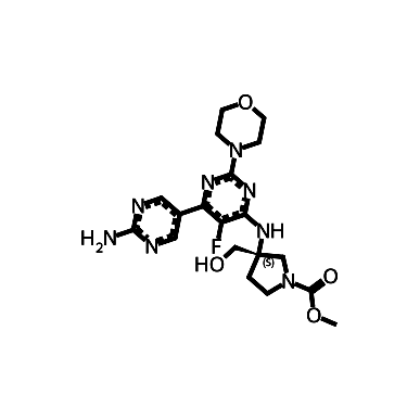 COC(=O)N1CC[C@](CO)(Nc2nc(N3CCOCC3)nc(-c3cnc(N)nc3)c2F)C1